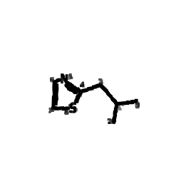 CC(C)Cc1nc[c]s1